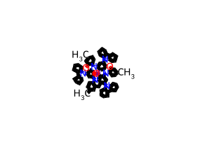 Cc1ccc2c(c1)Cc1c(-n3c4ccccc4c4ccccc43)cc3c4c1N2c1cc(-n2c5ccccc5c5ccccc52)c2c5c1P4(=O)c1c(cc(-n4c6ccccc6c6ccccc64)c4c1N3c1ccc(C)cc1O4)N5c1ccc(C)cc1O2